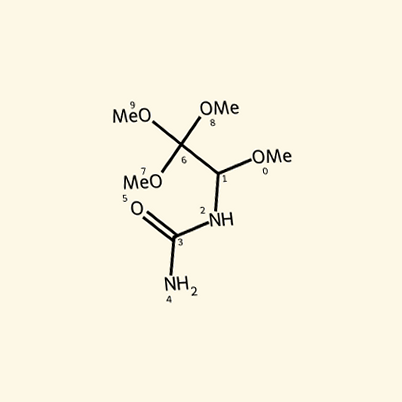 COC(NC(N)=O)C(OC)(OC)OC